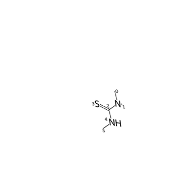 C[N]C(=S)NC